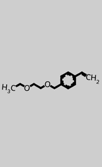 C=Cc1ccc(COCCOCC)cc1